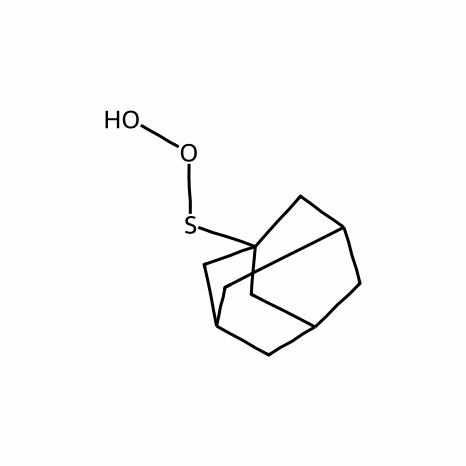 OOSC12CC3CC(CC(C3)C1)C2